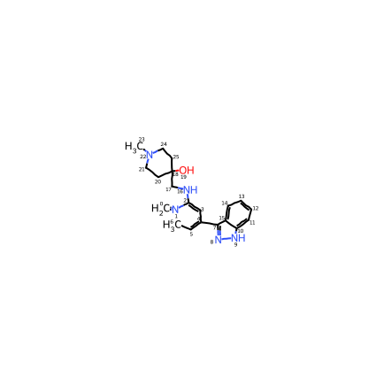 C=N/C(=C\C(=C/C)c1n[nH]c2ccccc12)NCC1(O)CCN(C)CC1